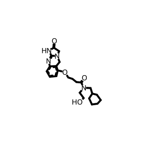 O=C1CN2Cc3c(cccc3OCCCC(=O)N(CCO)CC3CCCCC3)N=C2N1